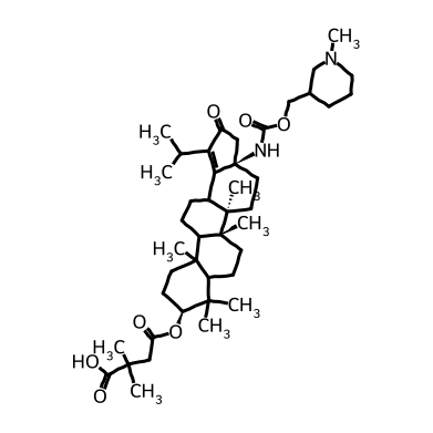 CC(C)C1=C2C3CCC4C5(C)CC[C@H](OC(=O)CC(C)(C)C(=O)O)C(C)(C)C5CC[C@@]4(C)[C@]3(C)CC[C@@]2(NC(=O)OCC2CCCN(C)C2)CC1=O